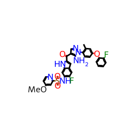 COc1ccnc(S(=O)(=O)Nc2cc3[nH]c(C(=O)c4cnn(-c5ccc(Oc6ccccc6F)cc5C)c4N)cc3cc2F)c1